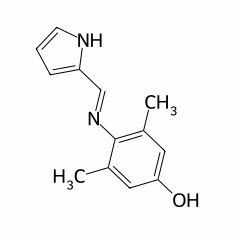 Cc1cc(O)cc(C)c1N=Cc1ccc[nH]1